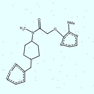 CNc1nccnc1OCC(=O)N(C)C1CCN(Cc2ccccc2)CC1